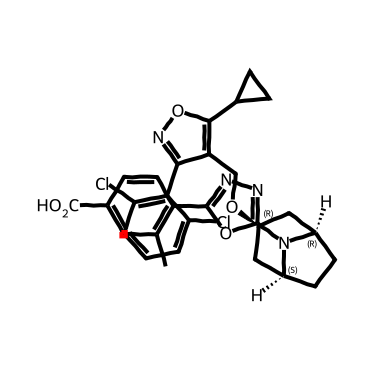 Cc1cc(C(=O)O)ccc1-c1nnc(N2[C@@H]3CC[C@H]2C[C@@H](OCc2c(-c4c(Cl)cccc4Cl)noc2C2CC2)C3)o1